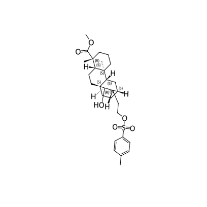 COC(=O)[C@]1(C)CCC[C@@]2(C)[C@@H]3C[C@@H]4CC[C@@]3(CC[C@@H]21)[C@H](O)[C@H]4CCOS(=O)(=O)c1ccc(C)cc1